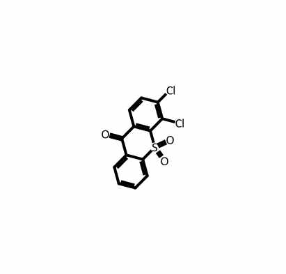 O=C1c2ccccc2S(=O)(=O)c2c1ccc(Cl)c2Cl